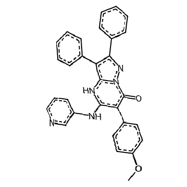 COc1ccc(-c2c(Nc3cccnc3)[nH]c3c(-c4ccccc4)c(-c4ccccc4)nn3c2=O)cc1